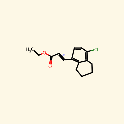 CCOC(=O)/C=C/c1ccc(Cl)c2c1CCCC2